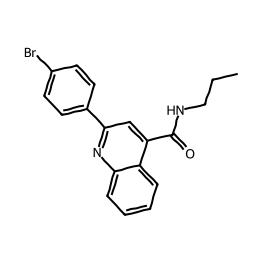 CCCNC(=O)c1cc(-c2ccc(Br)cc2)nc2ccccc12